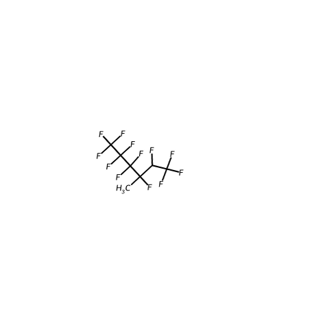 CC(F)(C(F)C(F)(F)F)C(F)(F)C(F)(F)C(F)(F)F